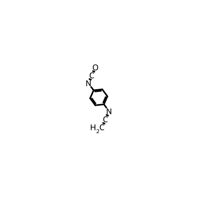 C=C=Nc1ccc(N=C=O)cc1